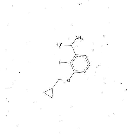 CC(C)c1cccc(OCC2CC2)c1F